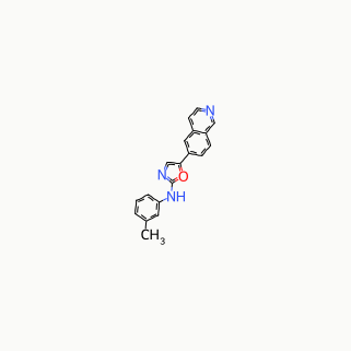 Cc1cccc(Nc2ncc(-c3ccc4cnccc4c3)o2)c1